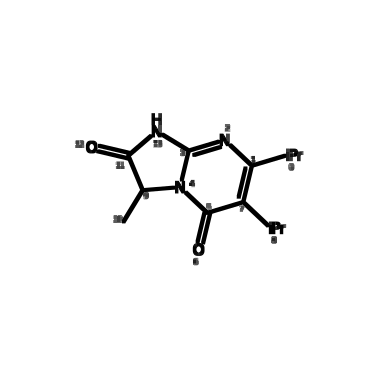 CC(C)c1nc2n(c(=O)c1C(C)C)C(C)C(=O)N2